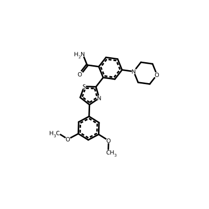 COc1cc(OC)cc(-c2csc(-c3cc(N4CCOCC4)ccc3C(N)=O)n2)c1